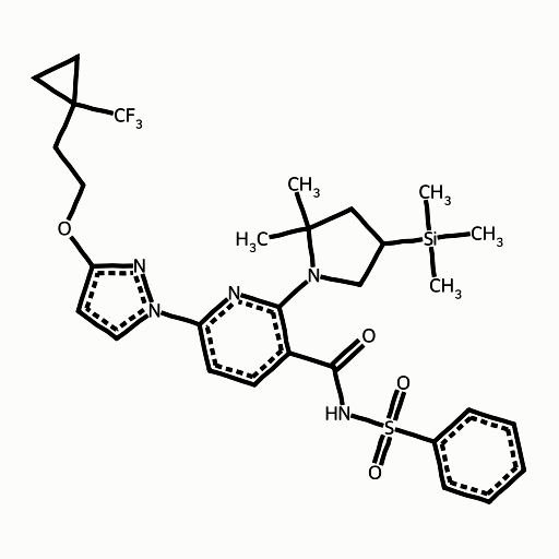 CC1(C)CC([Si](C)(C)C)CN1c1nc(-n2ccc(OCCC3(C(F)(F)F)CC3)n2)ccc1C(=O)NS(=O)(=O)c1ccccc1